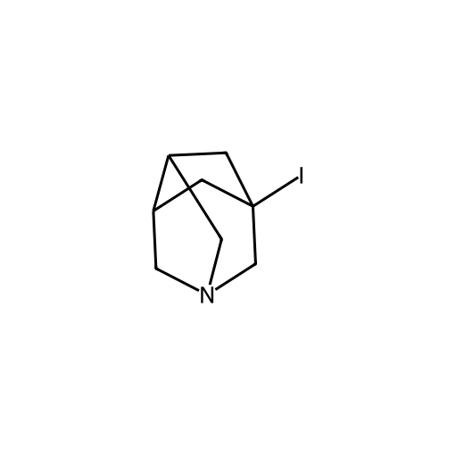 IC12CC3CN(CC3C1)C2